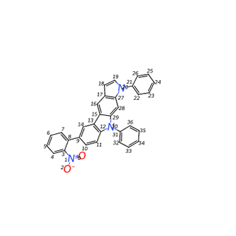 O=[N+]([O-])c1ccccc1-c1ccc2c(c1)c1cc3ccn(-c4ccccc4)c3cc1n2-c1ccccc1